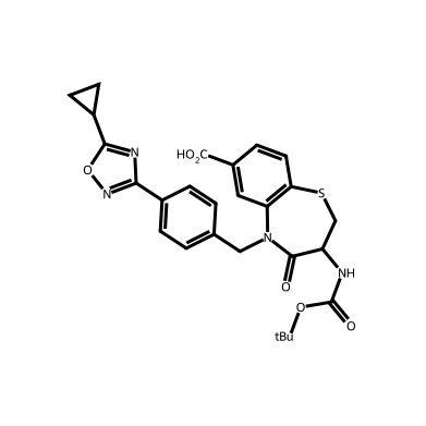 CC(C)(C)OC(=O)NC1CSc2ccc(C(=O)O)cc2N(Cc2ccc(-c3noc(C4CC4)n3)cc2)C1=O